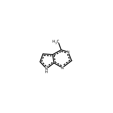 Cc1n[c]nc2[nH]ccc12